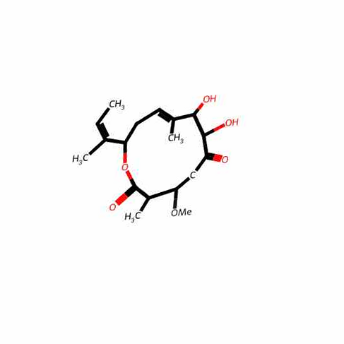 C/C=C(/C)C1C/C=C(\C)C(O)C(O)C(=O)CC(OC)C(C)C(=O)O1